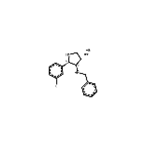 Br.Br.Clc1cccc([C@H]2NCC[C@H]2NCc2ccccc2)c1